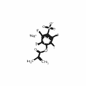 C=C(C)C(=O)Oc1c(F)c(F)c(S(=O)(=O)[O-])c(F)c1F.[Na+]